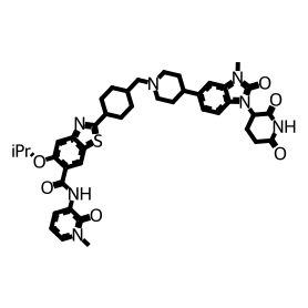 CC(C)Oc1cc2nc(C3CCC(CN4CCC(c5ccc6c(c5)n(C)c(=O)n6C5CCC(=O)NC5=O)CC4)CC3)sc2cc1C(=O)Nc1cccn(C)c1=O